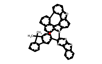 CC1(C)c2ccccc2-c2cc(-c3nc4c(nc3-n3c5ccc6cccc7c6c5c5c6c(ccc53)oc3cccc-7c36)sc3ccccc34)ccc21